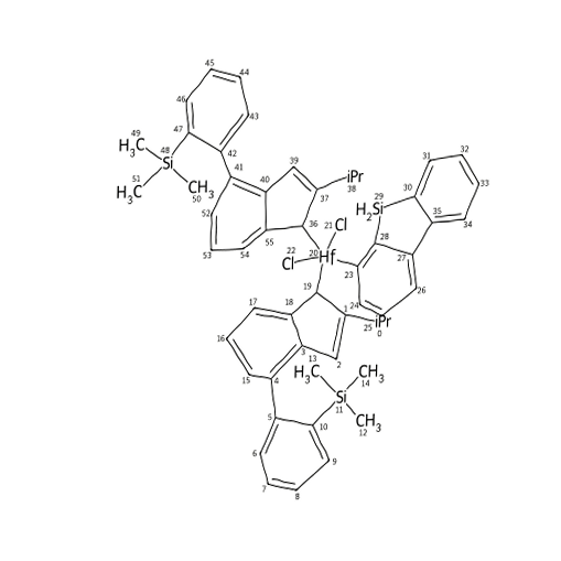 CC(C)C1=Cc2c(-c3ccccc3[Si](C)(C)C)cccc2[CH]1[Hf]([Cl])([Cl])([c]1cccc2c1[SiH2]c1ccccc1-2)[CH]1C(C(C)C)=Cc2c(-c3ccccc3[Si](C)(C)C)cccc21